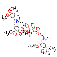 COc1cc2c(cc1OC)[C@@H](Cc1cc(OC)c(OC)c(OC)c1)N(CCCOC(=O)/C(Cl)=C/C(=O)OCCC[N+]1(Cc3cc(OC)c(OC)c(OC)c3)CCCC1)CC2